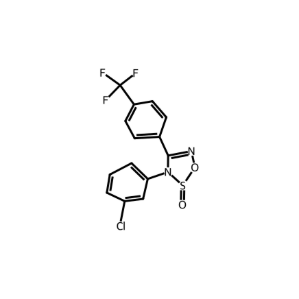 O=S1ON=C(c2ccc(C(F)(F)F)cc2)N1c1cccc(Cl)c1